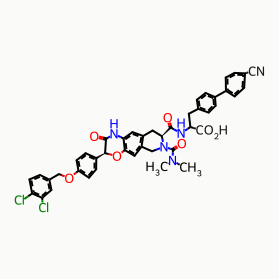 CN(C)C(=O)N1Cc2cc3c(cc2C[C@H]1C(=O)NC(Cc1ccc(-c2ccc(C#N)cc2)cc1)C(=O)O)NC(=O)[C@H](c1ccc(OCc2ccc(Cl)c(Cl)c2)cc1)O3